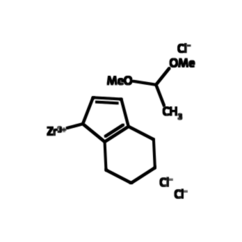 COC(C)OC.[Cl-].[Cl-].[Cl-].[Zr+3][CH]1C=CC2=C1CCCC2